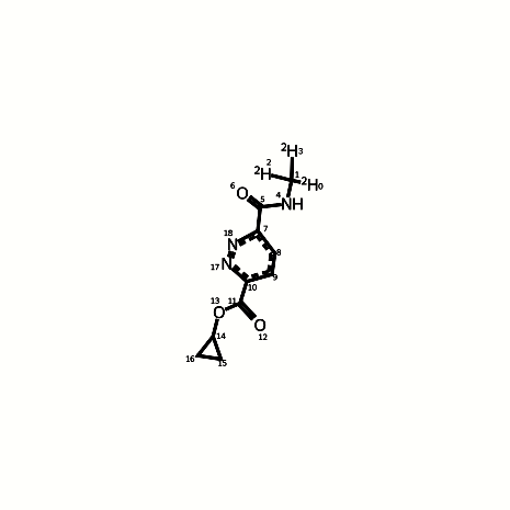 [2H]C([2H])([2H])NC(=O)c1ccc(C(=O)OC2CC2)nn1